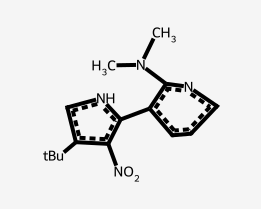 CN(C)c1ncccc1-c1[nH]cc(C(C)(C)C)c1[N+](=O)[O-]